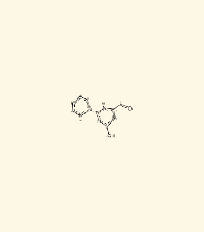 O=Cc1cc(O)nc(-c2ccccn2)n1